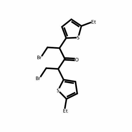 CCc1ccc(C(CBr)C(=O)C(CBr)c2ccc(CC)s2)s1